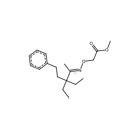 CCC(CI)(CCc1ccccc1)/C(C)=N/OCC(=O)OC